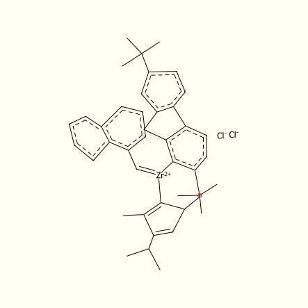 CC1=[C](/[Zr+2](=[CH]/c2cccc3ccccc23)[c]2c(C(C)(C)C)ccc3c2Cc2cc(C(C)(C)C)ccc2-3)C(C)C=C1C(C)C.[Cl-].[Cl-]